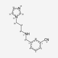 N#Cc1cccc(CNCCCn2ccnc2)c1